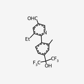 CCc1cc(C=O)cnc1-c1ccc(C(O)(C(F)(F)F)C(F)(F)F)cc1C